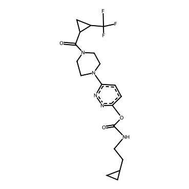 O=C(NCCC1CC1)Oc1ccc(N2CCN(C(=O)C3CC3C(F)(F)F)CC2)nn1